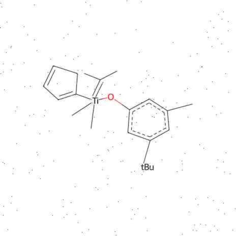 C[C](C)=[Ti]([CH3])([CH3])([O]c1cc(C)cc(C(C)(C)C)c1)[C]1=CC=CC1